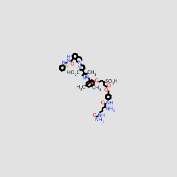 Cc1c(-c2ccc(N3CCc4cccc(C(=O)Nc5nc6ccccc6s5)c4C3)nc2C(=O)O)cnn1CC12CC3(C)CC(C)(C1)CC(OCCC(CC(=O)OCc1ccc(NC(=O)[C@@H](N)CCCNC(N)=O)cc1)S(=O)(=O)O)(C3)C2